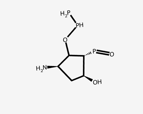 N[C@@H]1C[C@H](O)[C@@H](P=O)C1OPP